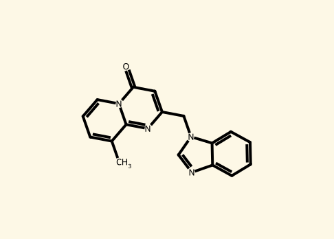 Cc1cccn2c(=O)cc(Cn3cnc4ccccc43)nc12